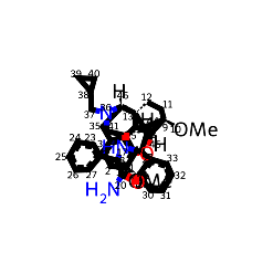 COc1ccc2c3c1O[C@H]1[C@@]4(OC)CC[C@@]5(C[C@@H]4C(NC(C(N)=O)c4ccccc4)c4ccccc4)[C@@H](C2)N(CC2CC2)CC[C@]315